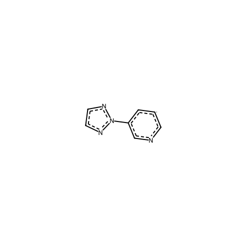 [c]1cncc(-n2nccn2)c1